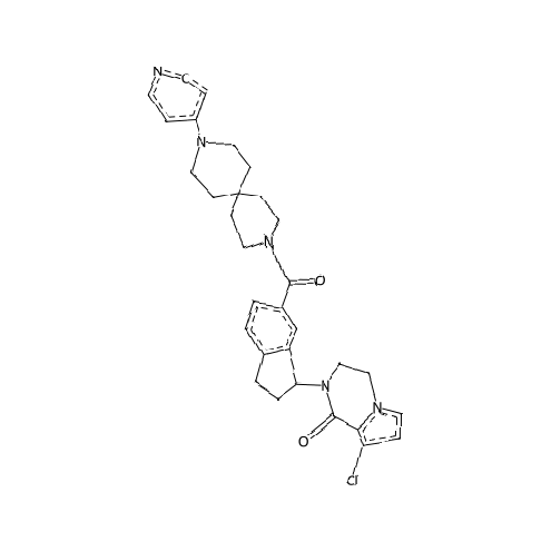 O=C(c1ccc2c(c1)C(N1CCn3ccc(Cl)c3C1=O)CC2)N1CCC2(CC1)CCN(c1ccncc1)CC2